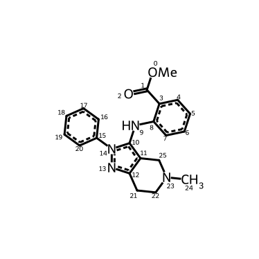 COC(=O)c1ccccc1Nc1c2c(nn1-c1ccccc1)CCN(C)C2